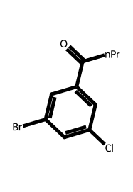 CCCC(=O)c1cc(Cl)cc(Br)c1